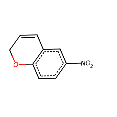 O=[N+]([O-])c1ccc2c(c1)C=CCO2